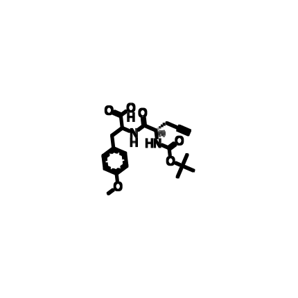 C#CC[C@H](NC(=O)OC(C)(C)C)C(=O)NC(Cc1ccc(OC)cc1)C(=O)O